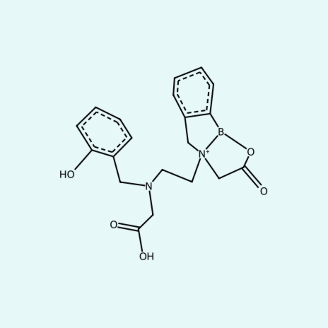 O=C(O)CN(CC[N+]12CC(=O)OB1c1ccccc1C2)Cc1ccccc1O